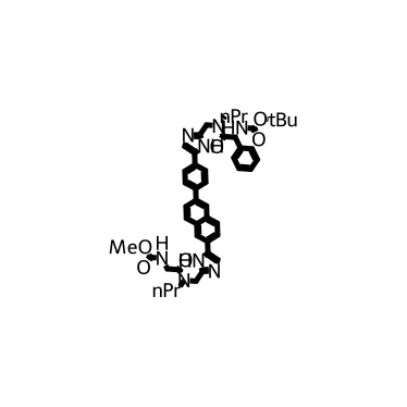 CCCN(Cc1ncc(-c2ccc3cc(-c4ccc(-c5cnc(CN(CCC)C(=O)[C@H](NC(=O)OC(C)(C)C)c6ccccc6)[nH]5)cc4)ccc3c2)[nH]1)C(=O)CNC(=O)OC